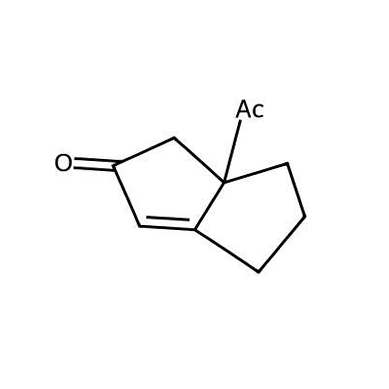 CC(=O)C12CCCC1=CC(=O)C2